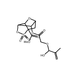 C=C(C)C(O)OCC(=O)OC1C2CC3(C(=O)OC)C(O2)C1OS3(=O)=O